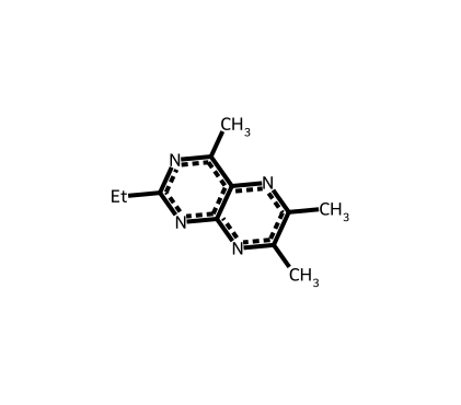 CCc1nc(C)c2nc(C)c(C)nc2n1